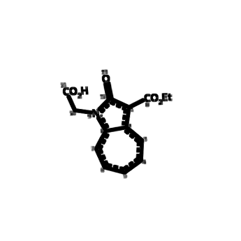 CCOC(=O)c1c2cccccc-2n(CC(=O)O)c1=O